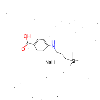 C[Si](C)(C)CCCNc1ccc(C(=O)O)cc1.[NaH]